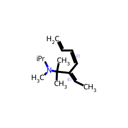 C=C/C=C\C(=C/C)C(C)(C)N(C)C(C)C